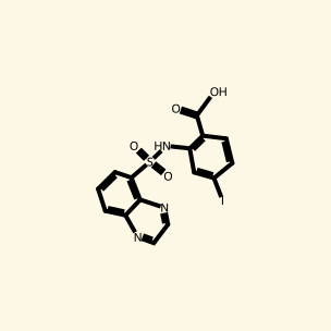 O=C(O)c1ccc(I)cc1NS(=O)(=O)c1cccc2nccnc12